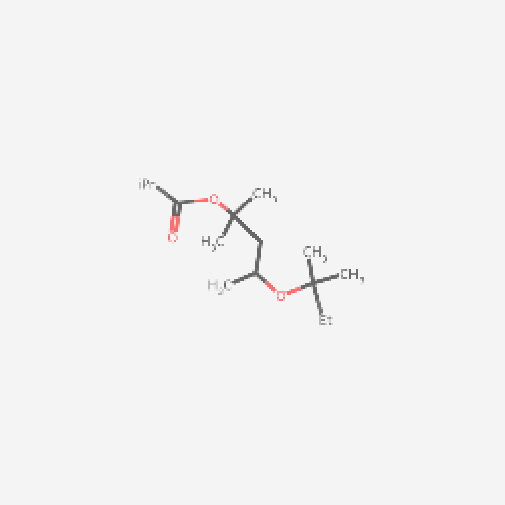 CCC(C)(C)OC(C)CC(C)(C)OC(=O)C(C)C